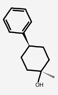 C[C@]1(O)CC[C@@H](c2ccccc2)CC1